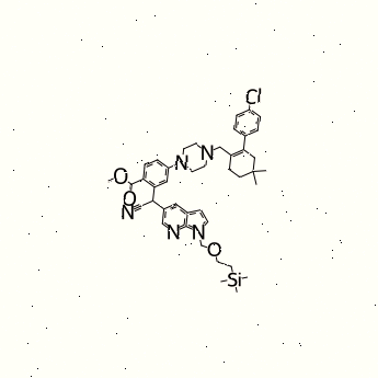 COC(=O)c1ccc(N2CCN(CC3=C(c4ccc(Cl)cc4)CC(C)(C)CC3)CC2)cc1C(C#N)c1cnc2c(ccn2COCC[Si](C)(C)C)c1